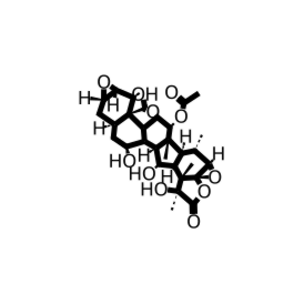 CC(=O)O[C@H]1CC2C([C@@H]3[C@@H](O)[C@@H]4[C@H]([C@H](C)[C@H]5O[C@]56OC(=O)[C@@](C)(O)[C@]46C)[C@@]13C)[C@@H](O)C[C@H]1C[C@@H]3O[C@@H]3[C@H](O)[C@]21C(C)=O